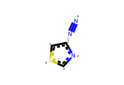 N#N.c1cscn1